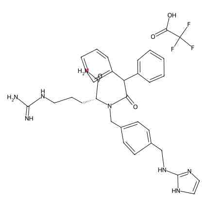 N=C(N)NCCC[C@H](C(N)=O)N(Cc1ccc(CNc2ncc[nH]2)cc1)C(=O)C(c1ccccc1)c1ccccc1.O=C(O)C(F)(F)F